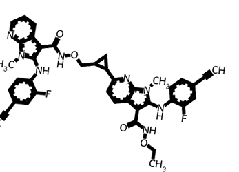 C#Cc1ccc(Nc2c(C(=O)NOCC3CC3c3ccc4c(C(=O)NOCC)c(Nc5ccc(C#C)cc5F)n(C)c4n3)c3cccnc3n2C)c(F)c1